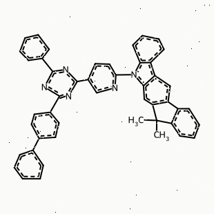 CC1(C)c2ccccc2-c2cc3c4ccccc4n(-c4ccc(-c5nc(-c6ccccc6)nc(-c6ccc(-c7ccccc7)cc6)n5)cn4)c3cc21